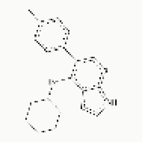 Cc1ccc(-c2cnc3[nH]ccc3c2NC2CCCCC2)cc1